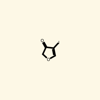 O=C1COC=C1I